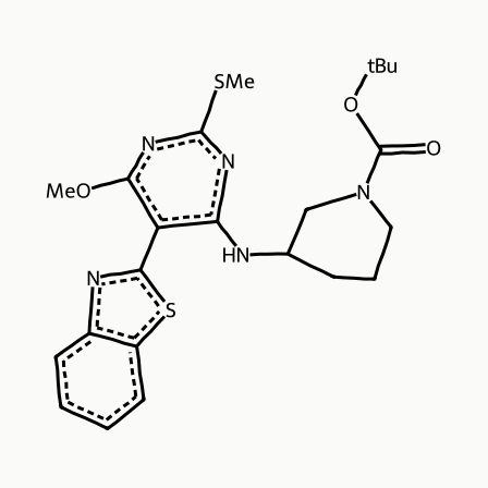 COc1nc(SC)nc(NC2CCCN(C(=O)OC(C)(C)C)C2)c1-c1nc2ccccc2s1